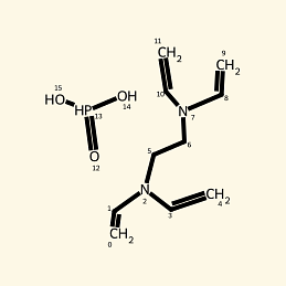 C=CN(C=C)CCN(C=C)C=C.O=[PH](O)O